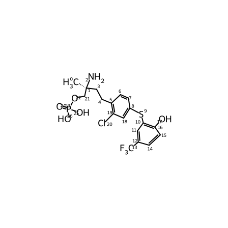 C[C@](N)(CCc1ccc(Sc2cc(C(F)(F)F)ccc2O)cc1Cl)COP(=O)(O)O